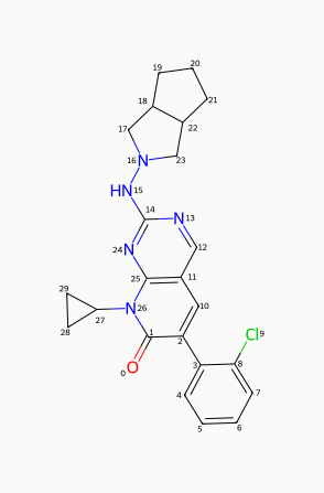 O=c1c(-c2ccccc2Cl)cc2cnc(NN3CC4CCCC4C3)nc2n1C1CC1